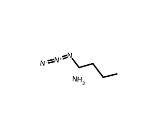 CCCCN=[N+]=[N-].N